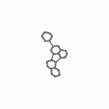 c1ccc(-c2cc3c4c(cccc4c2)-c2c-3ccc3ccccc23)cc1